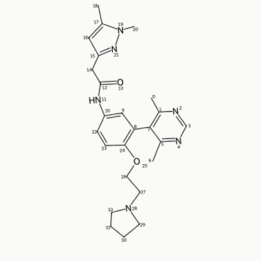 Cc1ncnc(C)c1-c1cc(NC(=O)Cc2cc(C)n(C)n2)ccc1OCCN1CCCC1